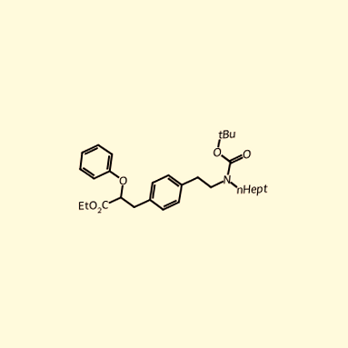 CCCCCCCN(CCc1ccc(CC(Oc2ccccc2)C(=O)OCC)cc1)C(=O)OC(C)(C)C